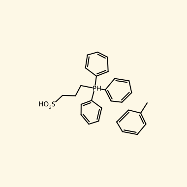 Cc1ccccc1.O=S(=O)(O)CCC[PH](c1ccccc1)(c1ccccc1)c1ccccc1